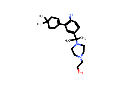 CC1(C)CC=C(c2cc(C(C)(C)N3CCN(CCO)CC3)ccc2N)CC1